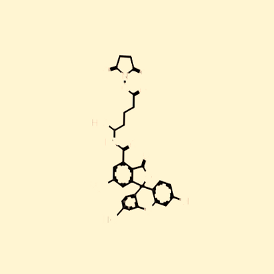 CC(CCCC(=O)ON1C(=O)CCC1=O)NC(=O)c1cc(C(=O)O)cc2c1C(=O)OC21c2ccc(O)cc2Oc2cc(O)ccc21